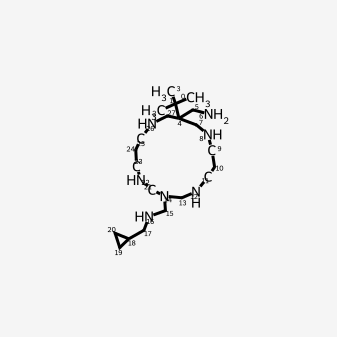 CC(C)(C)C1(CN)CNCCCNCN(CNCC2CC2)CNCCCNC1